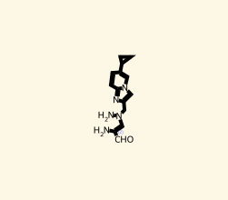 N/C(C=O)=C\N(N)Cc1cn2cc(C3CC3)ccc2n1